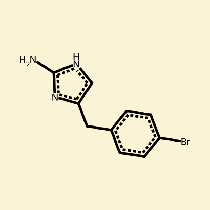 Nc1nc(Cc2ccc(Br)cc2)c[nH]1